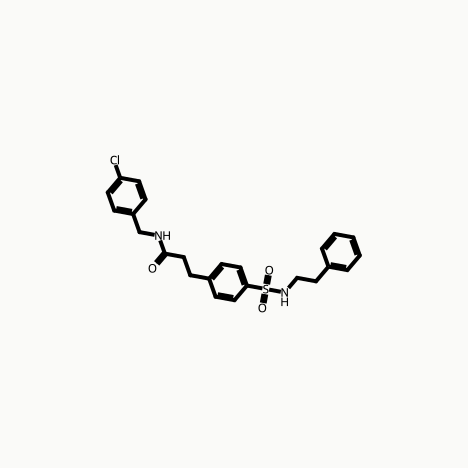 O=C(CCc1ccc(S(=O)(=O)NCCc2ccccc2)cc1)NCc1ccc(Cl)cc1